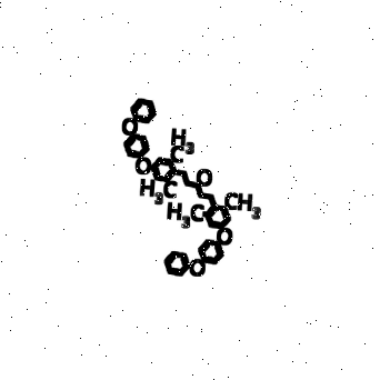 Cc1cc(Oc2ccc(Oc3ccccc3)cc2)cc(C)c1CCC(=O)CCc1c(C)cc(Oc2ccc(Oc3ccccc3)cc2)cc1C